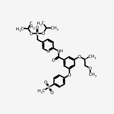 COC[C@H](C)Oc1cc(Oc2ccc(S(C)(=O)=O)cc2)cc(C(=O)Nc2ccc(CP(=O)(OC(C)C)OC(C)C)cn2)c1